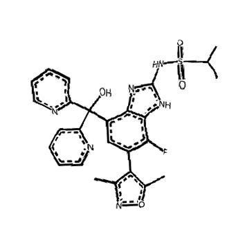 Cc1noc(C)c1-c1cc(C(O)(c2ccccn2)c2ccccn2)c2nc(NS(=O)(=O)C(C)C)[nH]c2c1F